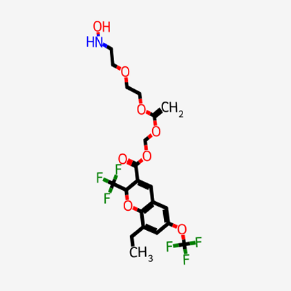 C=C(OCCOCCNO)OCOC(=O)C1=Cc2cc(OC(F)(F)F)cc(CC)c2OC1C(F)(F)F